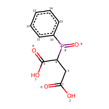 O=C(O)CC(C(=O)O)[P](=O)c1ccccc1